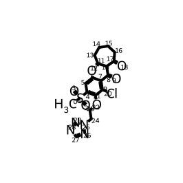 CS(=O)(=O)c1ccc(C(=O)C2C(=O)CCCCC2=O)c(Cl)c1OCCn1ncnn1